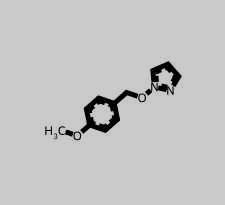 COc1ccc(COn2cccn2)cc1